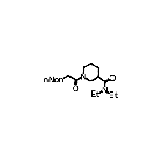 CCCCCCCCCCC(=O)N1CCCC(C(=O)N(CC)CC)C1